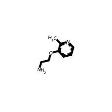 Cc1ncccc1OCCN